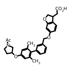 CC(=O)N1CCC(Oc2cc(C)c(-c3cccc(COc4ccc5c(c4)OCC5CC(=O)O)c3)c(C)c2)C1